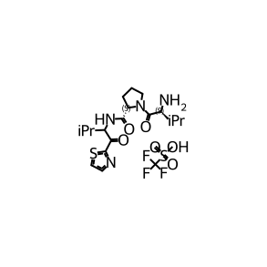 CC(C)C(NC(=O)[C@@H]1CCCN1C(=O)[C@@H](N)C(C)C)C(=O)c1nccs1.O=S(=O)(O)C(F)(F)F